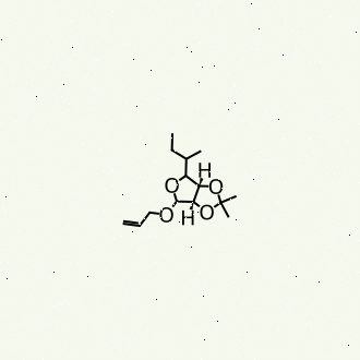 C=CCOC1OC(C(C)CC)[C@@H]2OC(C)(C)O[C@H]12